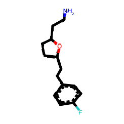 NCCC1CCC(CCc2ccc(F)cc2)O1